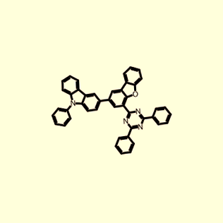 c1ccc(-c2nc(-c3ccccc3)nc(-c3cc(-c4ccc5c(c4)c4ccccc4n5-c4ccccc4)cc4c3oc3ccccc34)n2)cc1